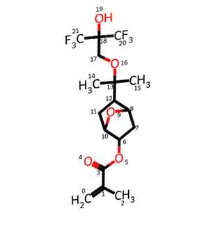 C=C(C)C(=O)OC1CC2OC1CC2C(C)(C)OCC(O)(C(F)(F)F)C(F)(F)F